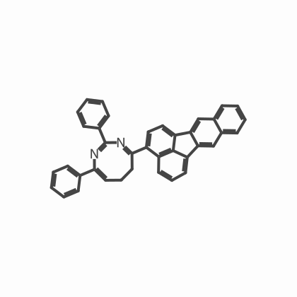 C1=C(c2ccccc2)/N=C(c2ccccc2)\N=C(\c2ccc3c4c(cccc24)-c2cc4ccccc4cc2-3)CC\1